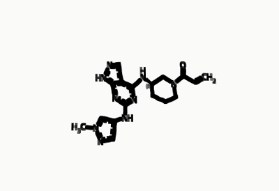 C=CC(=O)N1CCC[C@@H](Nc2nc(Nc3cnn(C)c3)nc3[nH]ncc23)C1